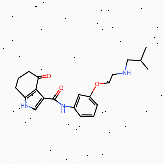 CC(C)CNCCOc1cccc(NC(=O)c2c[nH]c3c2C(=O)CCC3)c1